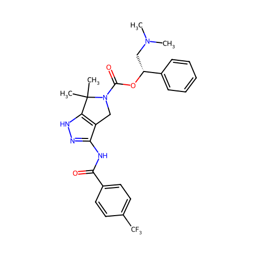 CN(C)C[C@@H](OC(=O)N1Cc2c(NC(=O)c3ccc(C(F)(F)F)cc3)n[nH]c2C1(C)C)c1ccccc1